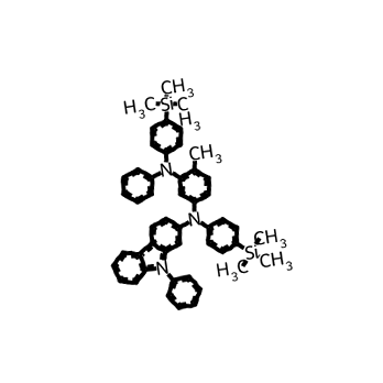 Cc1ccc(N(c2ccc([Si](C)(C)C)cc2)c2ccc3c4ccccc4n(-c4ccccc4)c3c2)cc1N(c1ccccc1)c1ccc([Si](C)(C)C)cc1